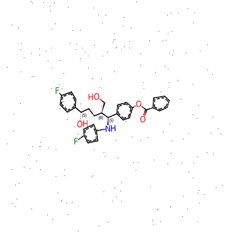 O=C(Oc1ccc([C@@H](Nc2ccc(F)cc2)[C@H](CO)CC[C@H](O)c2ccc(F)cc2)cc1)c1ccccc1